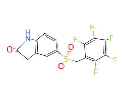 O=C1Cc2cc(S(=O)(=O)Cc3c(F)c(F)c(F)c(F)c3F)ccc2N1